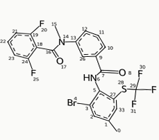 Cc1cc(Br)c(NC(=O)c2cccc(N(C)C(=O)c3c(F)cccc3F)c2)c(SC(F)(F)F)c1